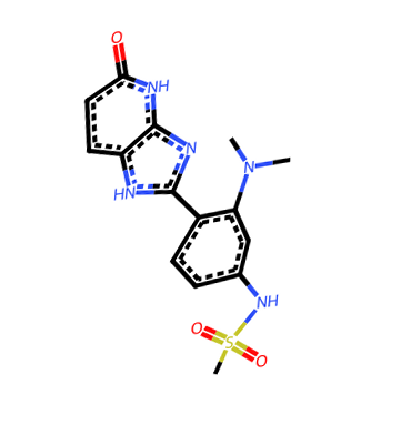 CN(C)c1cc(NS(C)(=O)=O)ccc1-c1nc2[nH]c(=O)ccc2[nH]1